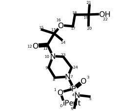 CCCC(C)OP(=O)(N(C)C)N1CCN(C(=O)C(C)(C)OCCC(C)(C)O)CC1